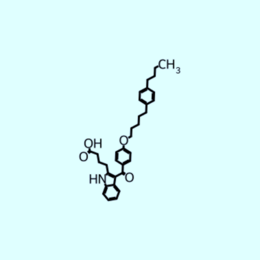 CCCCc1ccc(CCCCCOc2ccc(C(=O)c3c(CCCC(=O)O)[nH]c4ccccc34)cc2)cc1